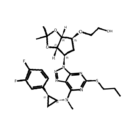 CCCSc1nc(N(C)[C@@H]2C[C@H]2c2ccc(F)c(F)c2)c2nnn([C@@H]3C[C@H](OCCO)[C@H]4OC(C)(C)O[C@H]43)c2n1